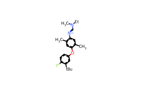 CCN(C)/C=N/c1cc(C)c(Oc2ccc(F)c(C(C)(C)C)c2)cc1C